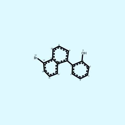 Oc1ccccc1-c1cccc2c(Br)cccc12